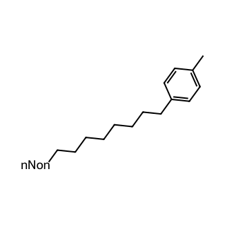 [CH2]CCCCCCCCCCCCCCCCc1ccc(C)cc1